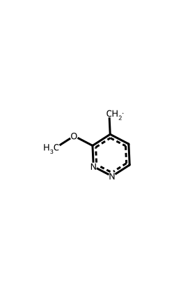 [CH2]c1ccnnc1OC